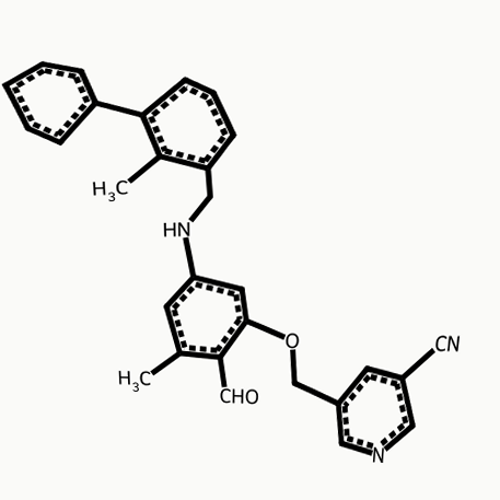 Cc1cc(NCc2cccc(-c3ccccc3)c2C)cc(OCc2cncc(C#N)c2)c1C=O